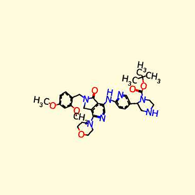 COc1ccc(CN2Cc3c(N4CCOCC4)ncc(Nc4ccc(C5CNCCN5C(=O)OC(C)(C)C)cn4)c3C2=O)c(OC)c1